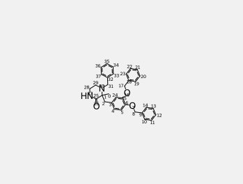 CC1(Cc2ccc(OCc3ccccc3)c(OCc3ccccc3)c2)C(=O)NCCN1Cc1ccccc1